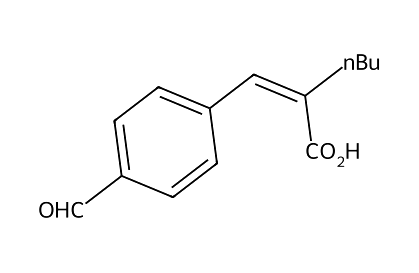 CCCCC(=Cc1ccc(C=O)cc1)C(=O)O